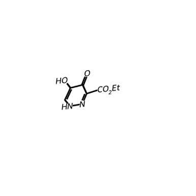 CCOC(=O)c1n[nH]cc(O)c1=O